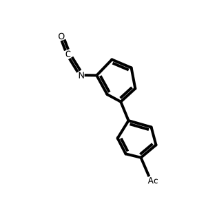 CC(=O)c1ccc(-c2cccc(N=C=O)c2)cc1